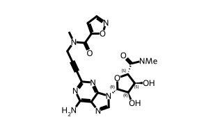 CNC(=O)[C@H]1O[C@@H](n2cnc3c(N)nc(C#CCN(C)C(=O)c4ccno4)nc32)[C@H](O)[C@@H]1O